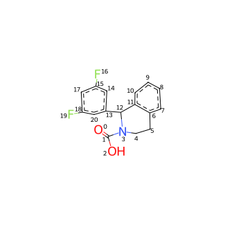 O=C(O)N1CCc2ccccc2C1c1cc(F)cc(F)c1